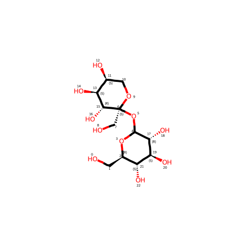 OC[C@H]1OC(O[C@]2(CO)OC[C@H](O)[C@H](O)[C@H]2O)[C@H](O)[C@@H](O)[C@@H]1O